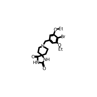 CCOc1cc(CN2CCC3(CC2)NC(=O)NC3=O)cc(OCC)c1Br